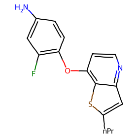 CCCc1cc2nccc(Oc3ccc(N)cc3F)c2s1